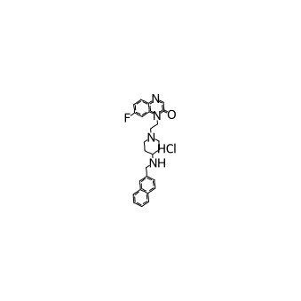 Cl.O=c1cnc2ccc(F)cc2n1CCN1CCC(NCc2ccc3ccccc3c2)CC1